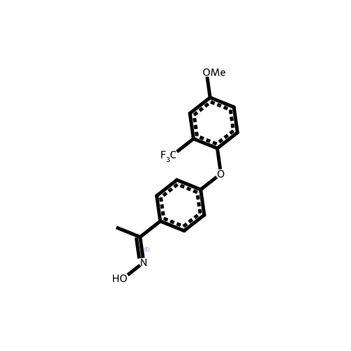 COc1ccc(Oc2ccc(/C(C)=N/O)cc2)c(C(F)(F)F)c1